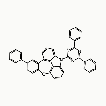 c1ccc(-c2ccc3oc4cccc5c4c4c(cccc4n5-c4nc(-c5ccccc5)nc(-c5ccccc5)n4)c3c2)cc1